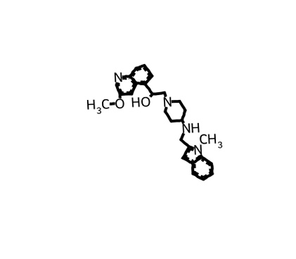 COc1cnc2cccc(C(O)CN3CCC(NCc4cc5ccccc5n4C)CC3)c2c1